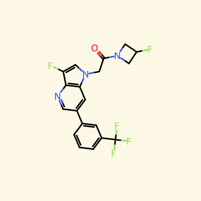 O=C(Cn1cc(F)c2ncc(-c3cccc(C(F)(F)F)c3)cc21)N1CC(F)C1